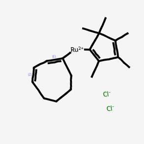 CC1=C(C)C(C)(C)[C]([Ru+2]/[C]2=C/C=C\CCCC2)=C1C.[Cl-].[Cl-]